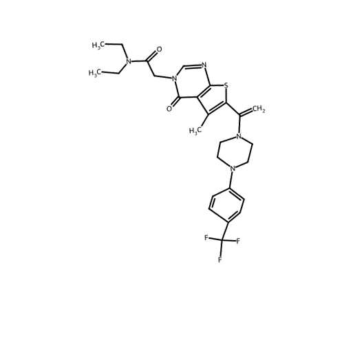 C=C(c1sc2ncn(CC(=O)N(CC)CC)c(=O)c2c1C)N1CCN(c2ccc(C(F)(F)F)cc2)CC1